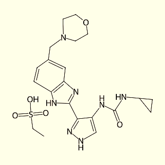 CCS(=O)(=O)O.O=C(Nc1c[nH]nc1-c1nc2cc(CN3CCOCC3)ccc2[nH]1)NC1CC1